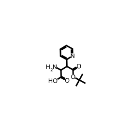 CC(C)(C)OC(=O)C(c1ccccn1)C(N)C(=O)O